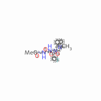 COC(=O)/C=C/CNC(=O)CNC(=O)CN(C(=O)Cc1cccc(F)c1)C1CCN(C(C)c2cccc3ccccc23)CC1